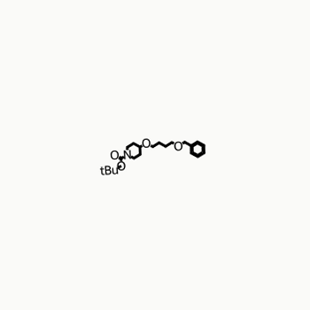 CC(C)(C)OC(=O)N1CCC(OCCCCOCc2ccccc2)CC1